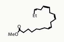 CC/C=C\C/C=C\C/C=C\C/C=C\CCCCCCC(=O)OC